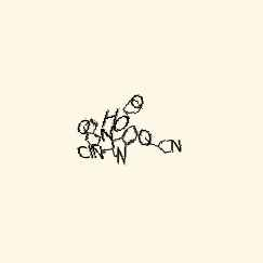 CN1CCC(COc2cc(OC3CCOCC3)c3c(Nc4cc(Cl)cc5occc45)c(C#N)cnc3c2)CC1